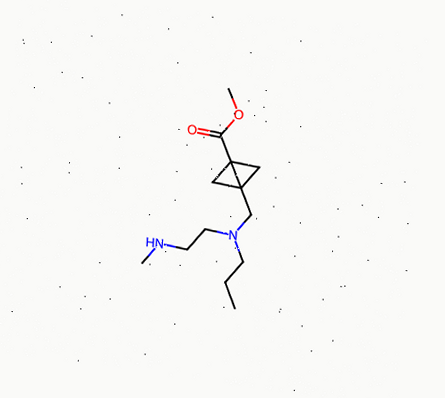 CCCN(CCNC)CC12CC1(C(=O)OC)C2